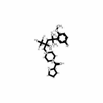 COc1ccc(F)cc1C(C)(C)CC(O)(CN1CCN(C(=O)C2CCCO2)CC1)C(F)(F)F